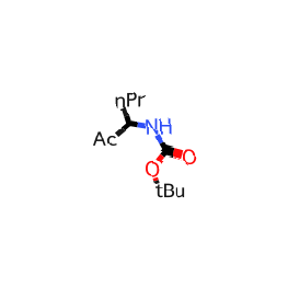 CCCC(NC(=O)OC(C)(C)C)C(C)=O